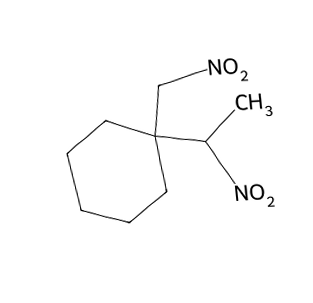 CC([N+](=O)[O-])C1(C[N+](=O)[O-])CCCCC1